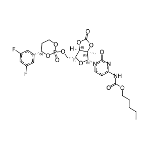 CCCCCOC(=O)Nc1ccn([C@@H]2O[C@H](COP3(=O)OCC[C@@H](c4cc(F)cc(F)c4)O3)[C@H]3OC(=O)O[C@]32C)c(=O)n1